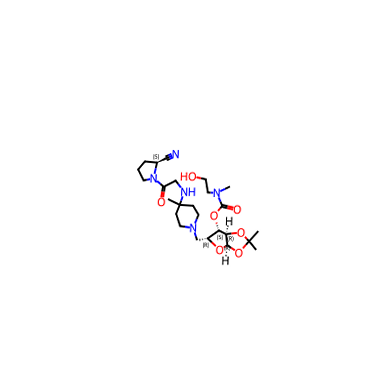 CN(CCO)C(=O)O[C@@H]1[C@H]2OC(C)(C)O[C@H]2O[C@@H]1CN1CCC(C)(NCC(=O)N2CCC[C@H]2C#N)CC1